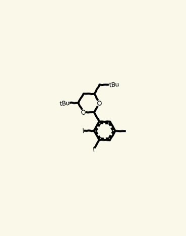 Cc1cc(I)c(I)c(C2OC(CC(C)(C)C)CC(C(C)(C)C)O2)c1